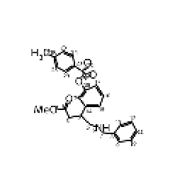 COC(=O)CC(CNCc1ccccc1)c1cccc(OS(=O)(=O)c2ccc(C)cc2)c1